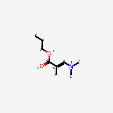 CCCOC(=O)C(C)=CN(C)C